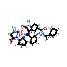 C[C@@H](NC(=O)c1ccc2c(c1)/C(=C(/Nc1ccccc1N1C(=O)CNC1=O)c1ccccc1)C(=O)N2)c1ccccc1